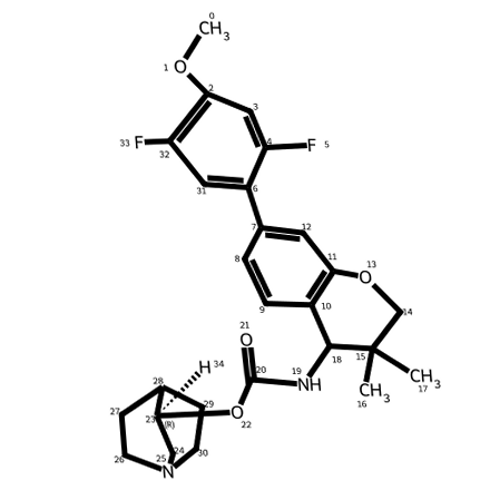 COc1cc(F)c(-c2ccc3c(c2)OCC(C)(C)C3NC(=O)O[C@H]2CN3CCC2CC3)cc1F